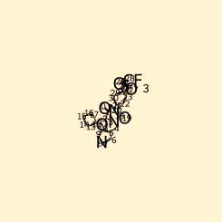 O=C1CN(Cc2ccncc2Oc2ccccc2)C(=O)N1c1ccc(S(=O)(=O)C(F)(F)F)cc1